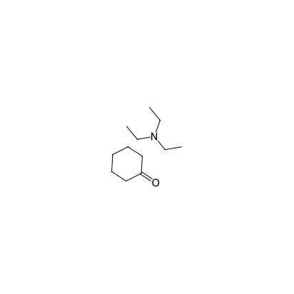 CCN(CC)CC.O=C1CCCCC1